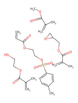 C=C(C)C(=O)OC.C=C(C)C(=O)OCC1CO1.C=C(C)C(=O)OCCO.C=CC(=O)OCCOS(=O)(=O)c1ccc(C)cc1